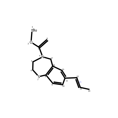 C=C(OC(C)(C)C)N1CCSc2ccc(/C=C/C)cc2C1